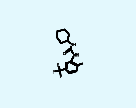 Cc1ccc(C(F)(F)F)cc1NC(=O)NC1CCCCC1